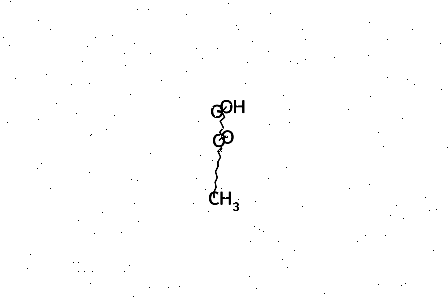 CCCCCCCCCC=COC(=O)CCCCC(=O)O